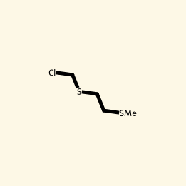 CSCCSCCl